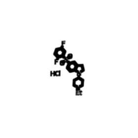 CCN1CCC(N2CCc3cc(S(=O)(=O)c4cc(F)ccc4F)ccc32)CC1.Cl